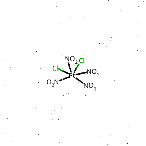 O=[N+]([O-])[Pt]([Cl])([Cl])([N+](=O)[O-])([N+](=O)[O-])[N+](=O)[O-]